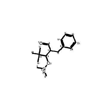 C[SiH](C)OC(C(C=O)Cc1ccccc1)C(C)(C)C